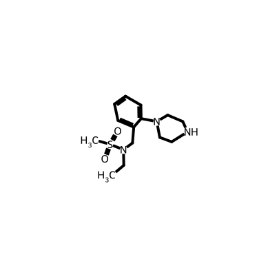 CCN(Cc1ccccc1N1CCNCC1)S(C)(=O)=O